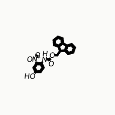 O=C(Nc1ccc(O)cc1[N+](=O)[O-])OCC1c2ccccc2-c2ccccc21